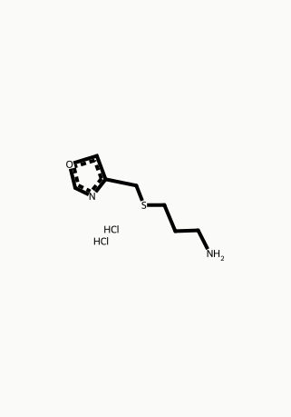 Cl.Cl.NCCCSCc1cocn1